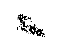 Cn1nnnc1SC[C@H](O)CN(C=O)c1ccc(-c2ccc(C=O)cc2)c(F)c1